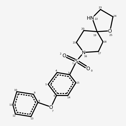 O=S(=O)(c1ccc(Oc2ccccc2)cc1)N1CCC2(CC1)NCCO2